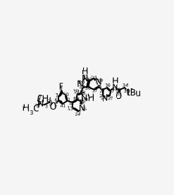 CN(C)CCOc1cc(F)cc(-c2ccnc3[nH]c(-c4n[nH]c5cnc(-c6cncc(NC(=O)CC(C)(C)C)c6)cc45)cc23)c1